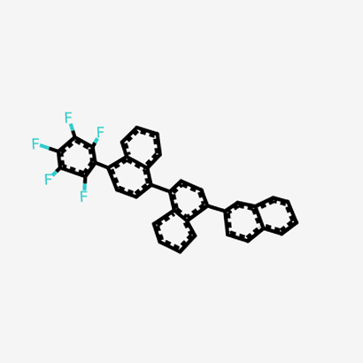 Fc1c(F)c(F)c(-c2ccc(-c3ccc(-c4ccc5ccccc5c4)c4ccccc34)c3ccccc23)c(F)c1F